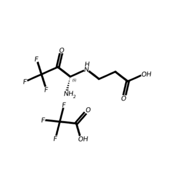 N[C@@H](NCCC(=O)O)C(=O)C(F)(F)F.O=C(O)C(F)(F)F